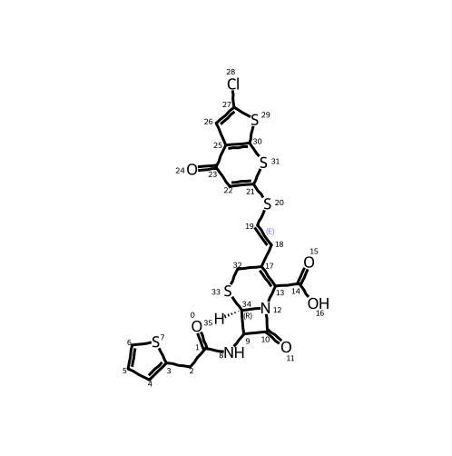 O=C(Cc1cccs1)NC1C(=O)N2C(C(=O)O)=C(/C=C/Sc3cc(=O)c4cc(Cl)sc4s3)CS[C@H]12